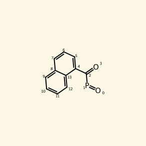 O=PC(=O)c1cccc2ccccc12